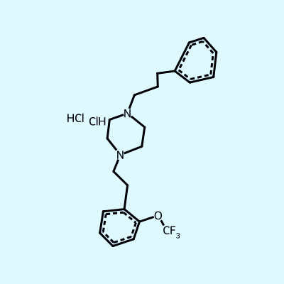 Cl.Cl.FC(F)(F)Oc1ccccc1CCN1CCN(CCCc2ccccc2)CC1